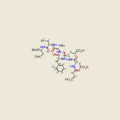 CSC(CC=O)NC(=O)[C@@H](CC(C)C)NC(=O)[C@@H](NC(=O)[C@H](Cc1ccccc1C)NC(=O)[C@H](CCC(=O)O)NC(=O)[C@H](CC(=O)O)NC(=O)CCC(=O)O)C(C)(C)C